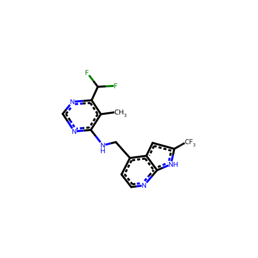 Cc1c(NCc2ccnc3[nH]c(C(F)(F)F)cc23)ncnc1C(F)F